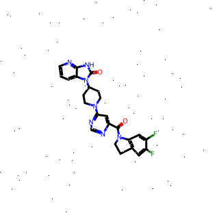 O=C(c1cc(N2CCC(n3c(=O)[nH]c4ncccc43)CC2)ncn1)N1CCc2cc(F)c(F)cc21